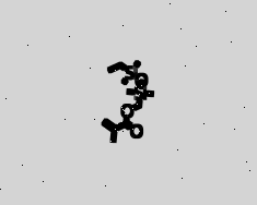 C=C(C)C(=O)OC[Si](C)(C)O[Si](C)(C)CC